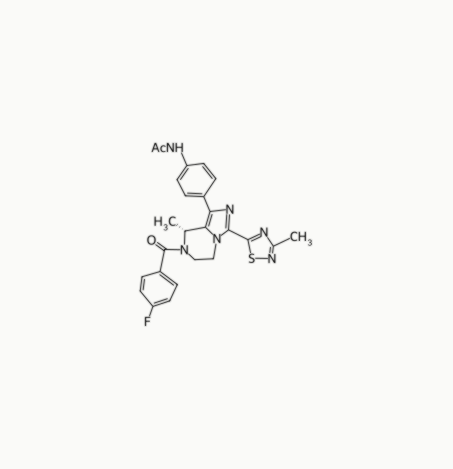 CC(=O)Nc1ccc(-c2nc(-c3nc(C)ns3)n3c2[C@@H](C)N(C(=O)c2ccc(F)cc2)CC3)cc1